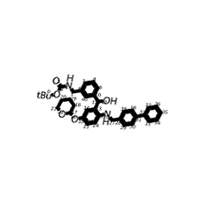 CC(C)(C)OC(=O)NCc1cccc(C(O)c2cc(OC3CCCCO3)ccc2NCc2ccc(-c3ccccc3)cc2)c1